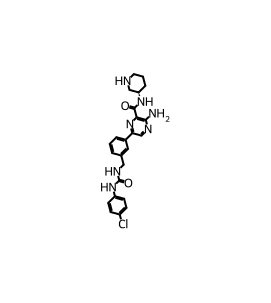 Nc1ncc(-c2cccc(CNC(=O)Nc3ccc(Cl)cc3)c2)nc1C(=O)N[C@H]1CCCNC1